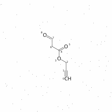 C#CCOC(=O)CC=O